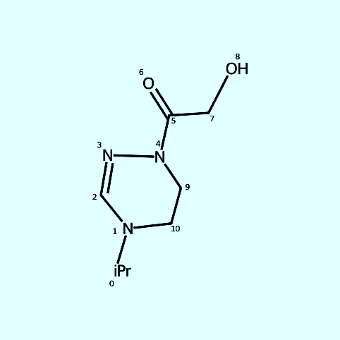 CC(C)N1C=NN(C(=O)CO)CC1